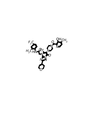 CCc1c(N2CCN(C(=O)c3nccc(C)c3O)CC2)c(=O)n2nc(C3=CCOCC3)nc2n1CC(=O)Nc1ccc(C(F)(F)F)cc1C